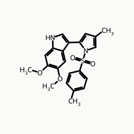 COc1cc2[nH]cc(-c3cc(C)cn3S(=O)(=O)c3ccc(C)cc3)c2cc1OC